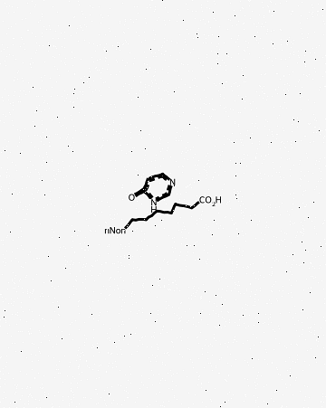 CCCCCCCCCCCCCCCC(=O)O.O=c1ccnc[nH]1